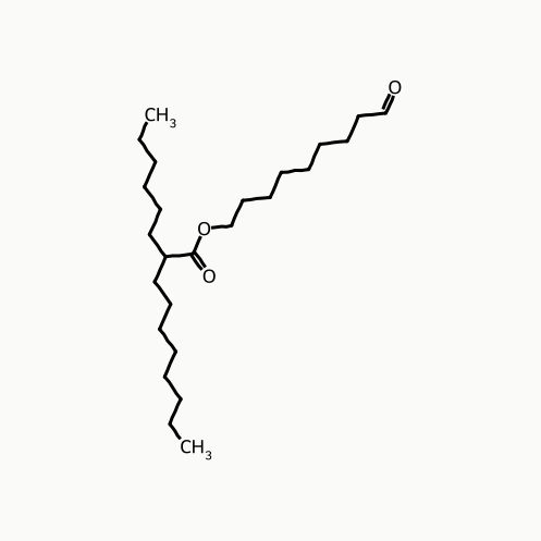 CCCCCCCCC(CCCCCC)C(=O)OCCCCCCCCC=O